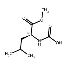 COC(=O)[C@H](CC(C)C)NC(=O)O